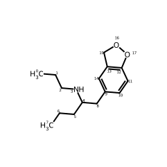 CCCNC(CCC)Cc1ccc2c(c1)COO2